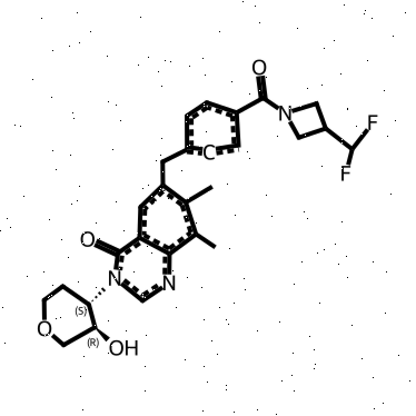 Cc1c(Cc2ccc(C(=O)N3CC(C(F)F)C3)cc2)cc2c(=O)n([C@H]3CCOC[C@@H]3O)cnc2c1C